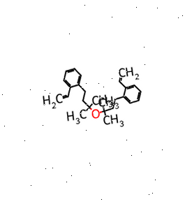 C=Cc1ccccc1CCC(C)(C)OC(C)(C)CCc1ccccc1C=C